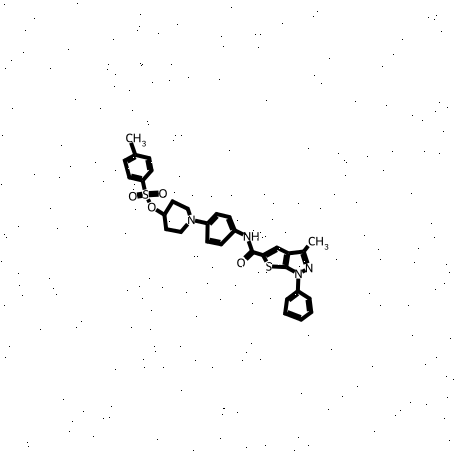 Cc1ccc(S(=O)(=O)OC2CCN(c3ccc(NC(=O)c4cc5c(C)nn(-c6ccccc6)c5s4)cc3)CC2)cc1